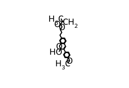 C=C(C)C(=O)OCCCc1ccc2c(c1)OC(O)C(c1ccc(OC)cc1)=C2